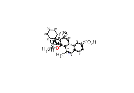 C/C(=C/c1ccc(C(=O)O)cc1)c1ccc(C(C)(C)C)c(C2(C)CCCCC2)c1O[SiH](C)C